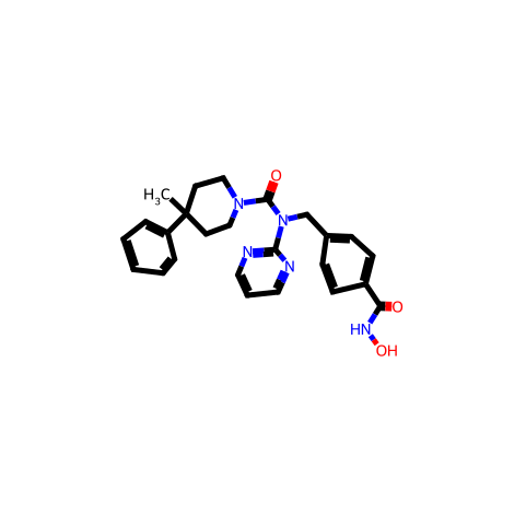 CC1(c2ccccc2)CCN(C(=O)N(Cc2ccc(C(=O)NO)cc2)c2ncccn2)CC1